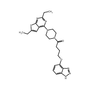 CCc1nc(N2CCN(C(=O)CCCOc3cccc4[nH]nnc34)CC2)c2cc(CC)sc2n1